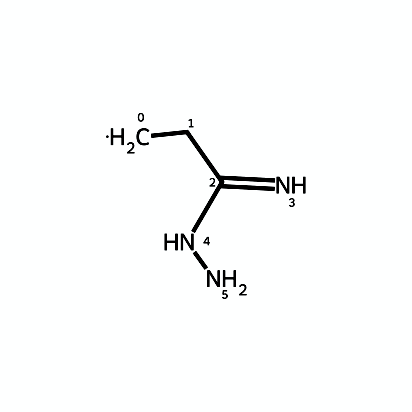 [CH2]CC(=N)NN